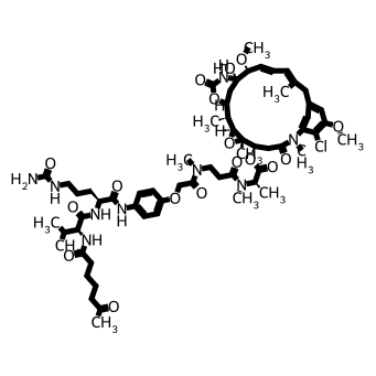 COc1cc2cc(c1Cl)N(C)C(=O)C[C@H](OC(=O)[C@H](C)N(C)C(=O)CCN(C)C(=O)COc1ccc(NC(=O)[C@H](CCCNC(N)=O)NC(=O)[C@@H](NC(=O)CCCCC(C)=O)C(C)C)cc1)[C@]1(C)O[C@H]1[C@H](C)[C@@H]1C[C@@](O)(NC(=O)O1)[C@H](OC)/C=C/C=C(\C)C2